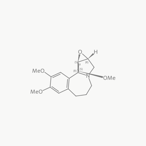 COc1cc2c(cc1OC)[C@]13C[C@H](OC)C=C[C@]14O[C@@H]4CN3CCC2